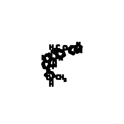 Cc1c(Oc2ccn3ncnc3c2)cnc(Nc2ncnc3ccc(N4CCN[C@H](C)C4)c(F)c23)c1F